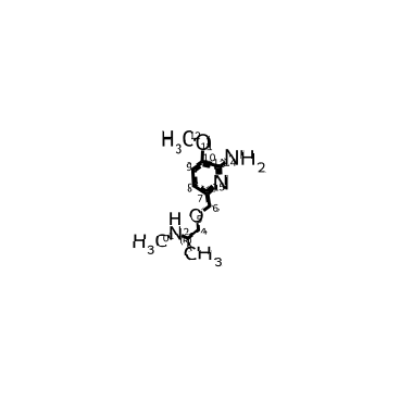 CN[C@H](C)COCc1ccc(OC)c(N)n1